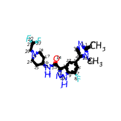 Cc1ncc(-c2cc(F)c3[nH]nc(C(=O)NC4CCN(CC(F)F)CC4)c3c2)n1C